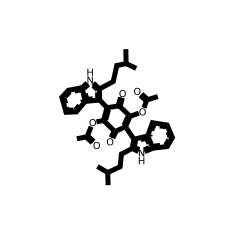 CC(=O)OC1=C(c2c(CCC(C)C)[nH]c3ccccc23)C(=O)C(OC(C)=O)=C(c2c(CCC(C)C)[nH]c3ccccc23)C1=O